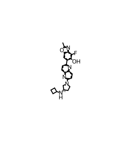 Cc1nc2c(F)c(O)c(-c3ccc4nc(N5CC[C@H](NC6CCC6)C5)ccc4n3)cc2o1